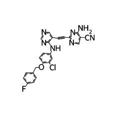 N#Cc1cnc(C#Cc2cncnc2Nc2ccc(OCc3ccc(F)cc3)c(Cl)c2)nc1N